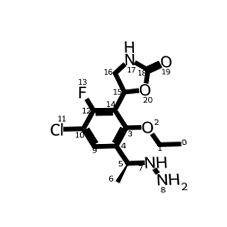 CCOc1c([C@H](C)NN)cc(Cl)c(F)c1C1CNC(=O)O1